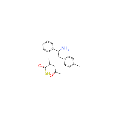 CC(=O)CC(C)C(=O)S.Cc1ccc(CC(N)c2ccccc2)cc1